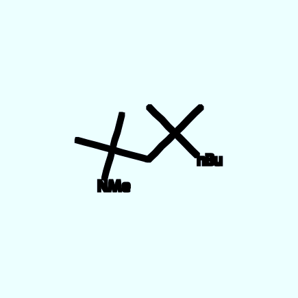 CCCCC(C)(C)CC(C)(C)NC